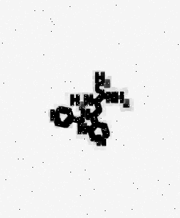 CC(N)C(N)Cc1nc(-c2ccncc2)nc2cnccc12